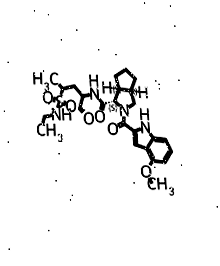 CCNS(=O)(=O)C(C)CC(C=O)NC(=O)[C@@H]1[C@H]2CCC[C@H]2CN1C(=O)c1cc2c(OC)cccc2[nH]1